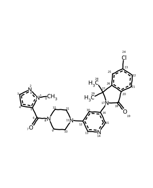 Cn1nccc1C(=O)N1CCN(c2cncc(N3C(=O)c4ccc(Cl)cc4C3(C)C)c2)CC1